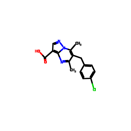 Cc1nc2c(C(=O)O)cnn2c(C)c1Cc1ccc(Cl)cc1